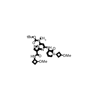 CO[C@H]1CCC1NC(=O)c1cnn2c(N(C)C(=O)OC(C)(C)C)cc(Nc3cccn([C@H]4C[C@H](OC)C4)c3=O)nc12